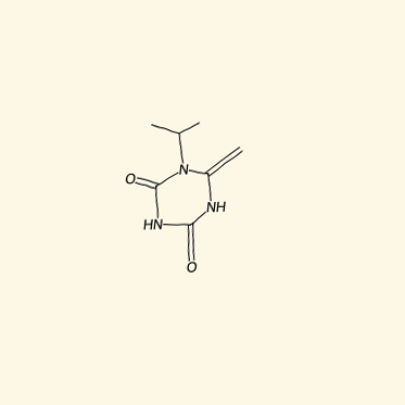 C=C1NC(=O)NC(=O)N1C(C)C